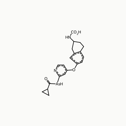 O=C(O)NC1CCc2ccc(Oc3ccnc([AsH]C(=O)C4CC4)c3)cc2C1